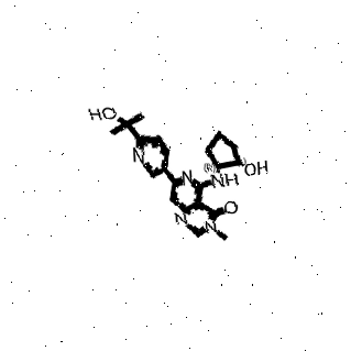 Cn1cnc2cc(-c3ccc(C(C)(C)O)nc3)nc(N[C@@H]3CCC[C@@H]3O)c2c1=O